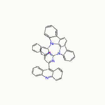 c1ccc(-c2cc(-c3c4ccccc4nc4ccccc34)nc(-n3c4ccccc4c4ccc5c6ccccc6n(-c6ccccc6)c5c43)n2)cc1